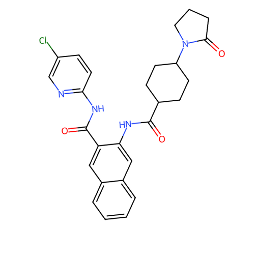 O=C(Nc1ccc(Cl)cn1)c1cc2ccccc2cc1NC(=O)C1CCC(N2CCCC2=O)CC1